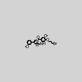 COc1cccc(C2=CN3C(=O)c4cc(OC)c(OCCCBr)cc4NC[C@@H]3C2)c1